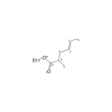 CC=CCC(C)C(=O)OCC